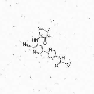 CC(C#N)N(C)C(=O)[C@H](C)Nc1cc(-c2cnc(NC(=O)C3CC3)cn2)cnc1C#N